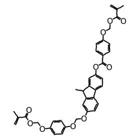 C=C(C)C(=O)OCOc1ccc(OCOc2ccc3c(c2)C(C)c2cc(OC(=O)c4ccc(OCOC(=O)C(=C)C)cc4)ccc2-3)cc1